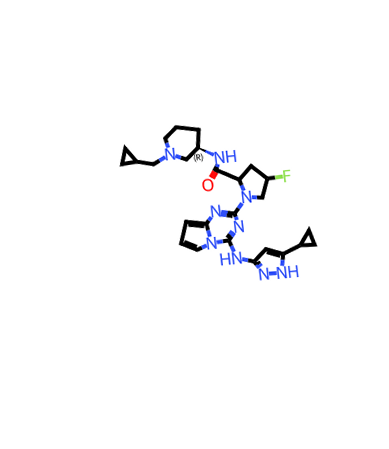 O=C(N[C@@H]1CCCN(CC2CC2)C1)C1CC(F)CN1c1nc(Nc2cc(C3CC3)[nH]n2)n2cccc2n1